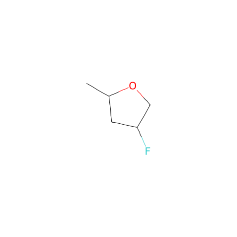 CC1CC(F)CO1